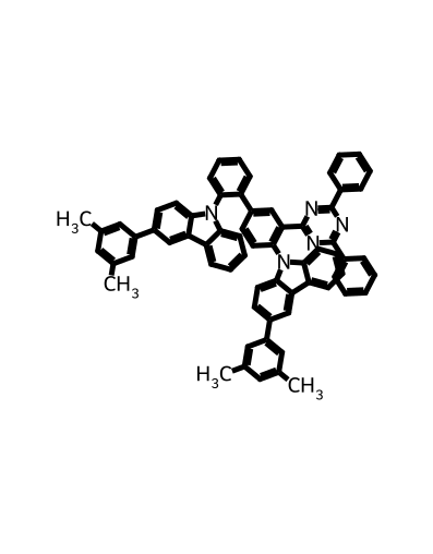 Cc1cc(C)cc(-c2ccc3c(c2)c2ccccc2n3-c2ccccc2-c2ccc(-n3c4ccccc4c4cc(-c5cc(C)cc(C)c5)ccc43)c(-c3nc(-c4ccccc4)nc(-c4ccccc4)n3)c2)c1